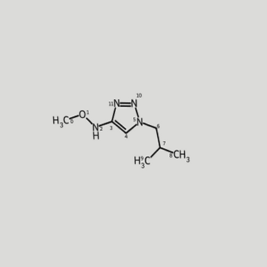 CONc1cn(CC(C)C)nn1